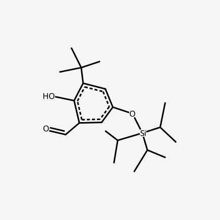 CC(C)[Si](Oc1cc(C=O)c(O)c(C(C)(C)C)c1)(C(C)C)C(C)C